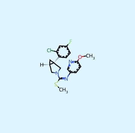 COc1ccc(/N=C(/SC)N2C[C@H]3C[C@@]3(c3ccc(F)cc3Cl)C2)cn1